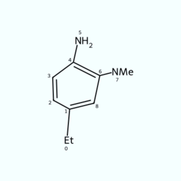 CCc1ccc(N)c(NC)c1